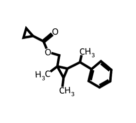 CC(c1ccccc1)C1C(C)C1(C)COC(=O)C1CC1